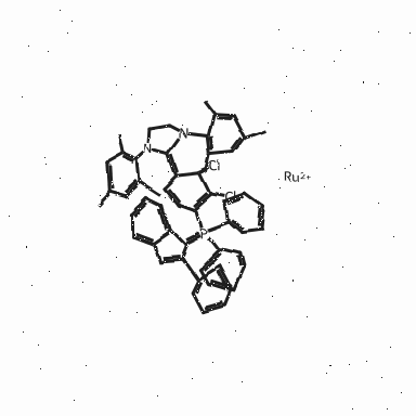 Cc1cc(C)c(N2CCN(c3c(C)cc(C)cc3C)C2=C2C=CC(P(=C3C(c4ccccc4)=Cc4ccccc43)(c3ccccc3)c3ccccc3)=C(Cl)C2Cl)c(C)c1.[Ru+2]